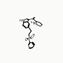 CC(c1c[nH]c2ccc(CCS(=O)(=O)c3ccccc3)cc12)C1CCCN1